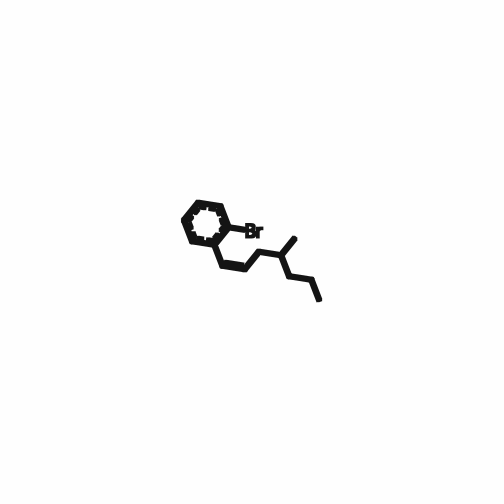 CCCC(C)C/C=C\c1ccccc1Br